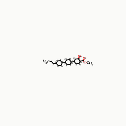 CCCC1CCC(C2CCC(C3CCC(C(=O)OC)C(=O)C3)CC2)CC1